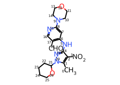 Cc1c([N+](=O)[O-])c(Nc2cc(N3CCOCC3)ncc2C=O)nn1C1CCCCO1